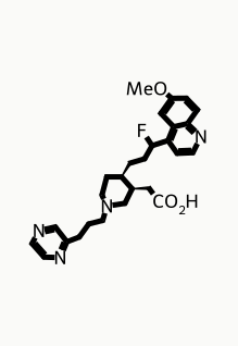 COc1ccc2nccc(C(F)CC[C@@H]3CCN(CCCc4cnccn4)C[C@@H]3CC(=O)O)c2c1